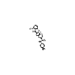 O=C(NC1CCC2(CC1)CC2)c1cnc2[nH]c(Nc3c(Cl)cccc3Cl)nc2c1